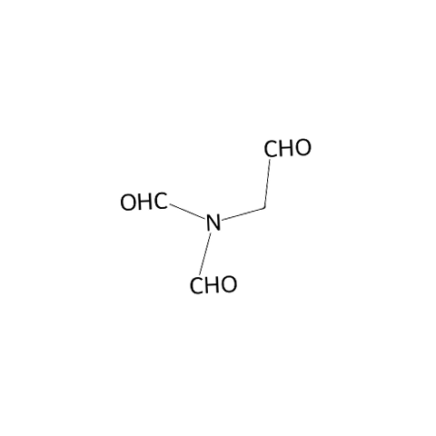 O=CCN(C=O)C=O